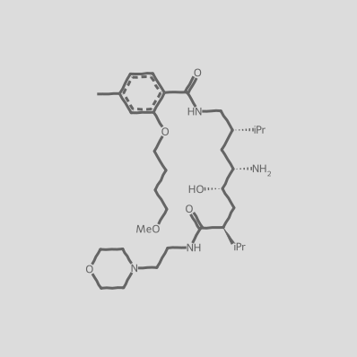 COCCCCOc1cc(C)ccc1C(=O)NC[C@@H](C[C@H](N)[C@@H](O)C[C@H](C(=O)NCCN1CCOCC1)C(C)C)C(C)C